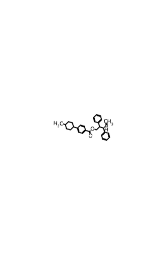 CB[C@@H](c1ccccc1)C(COC(=O)c1ccc(C2CCC(C)CC2)cc1)c1ccccc1